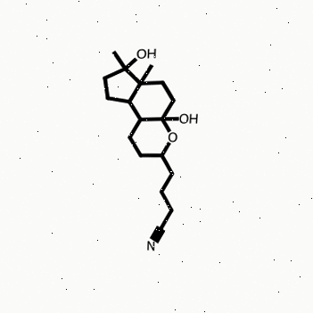 CC1(O)CCC2C3CCC(CCCC#N)OC3(O)CCC21C